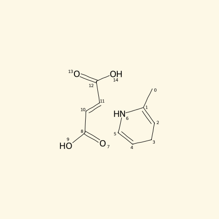 CC1=CCC=CN1.O=C(O)/C=C/C(=O)O